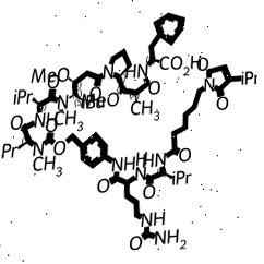 CC[C@H](C)[C@@H]([C@@H](CC(=O)N1CCC[C@H]1[C@H](OC)[C@@H](C)C(=O)N[C@@H](Cc1ccccc1)C(=O)O)OC)N(C)C(=O)[C@@H](NC(=O)[C@H](C(C)C)N(C)C(=O)OCc1ccc(NC(=O)C(CCCNC(N)=O)NC(=O)[C@@H](NC(=O)CCCCCN2C(=O)C=C(C(C)C)C2=O)C(C)C)cc1)C(C)C